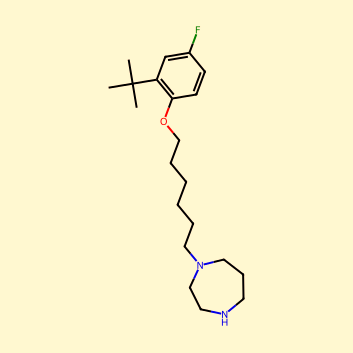 CC(C)(C)c1cc(F)ccc1OCCCCCCN1CCCNCC1